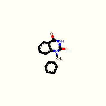 Cn1c(=O)[nH]c(=O)c2ccccc21.c1ccccc1